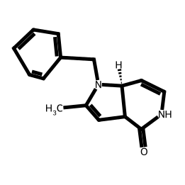 CC1=CC2C(=O)NC=C[C@@H]2N1Cc1ccccc1